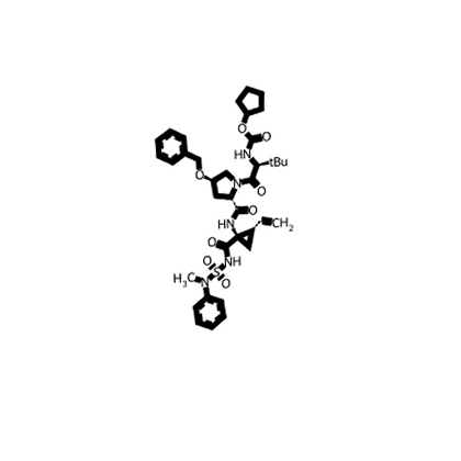 C=C[C@@H]1C[C@]1(NC(=O)[C@@H]1C[C@@H](OCc2ccccc2)CN1C(=O)[C@@H](NC(=O)OC1CCCC1)C(C)(C)C)C(=O)NS(=O)(=O)N(C)c1ccccc1